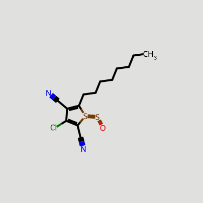 CCCCCCCCC1=C(C#N)C(Cl)=C(C#N)S1=S=O